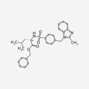 Cc1nc2ccccc2n1Cc1ccc(S(=O)(=O)N[C@@H](CC(C)C)C(=O)OCc2ccccc2)cc1